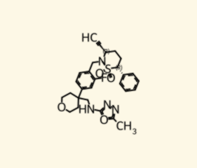 C#C[C@H]1CC[C@H](c2ccccc2)S(=O)(=O)N1Cc1ccc(C2(CNc3nnc(C)o3)CCOCC2)cc1F